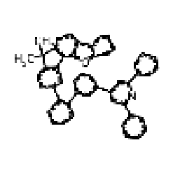 CC1(C)c2ccc(-c3ccccc3-c3cccc(-c4cc(-c5ccccc5)nc(-c5ccccc5)c4)c3)cc2-c2c1ccc1c2oc2ccccc21